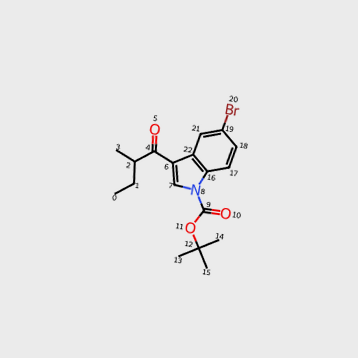 CCC(C)C(=O)c1cn(C(=O)OC(C)(C)C)c2ccc(Br)cc12